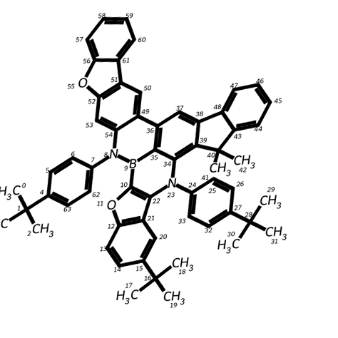 CC(C)(C)c1ccc(N2B3c4oc5ccc(C(C)(C)C)cc5c4N(c4ccc(C(C)(C)C)cc4)c4c3c(cc3c4C(C)(C)c4ccccc4-3)-c3cc4c(cc32)oc2ccccc24)cc1